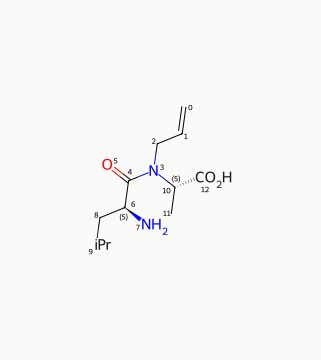 C=CCN(C(=O)[C@@H](N)CC(C)C)[C@@H](C)C(=O)O